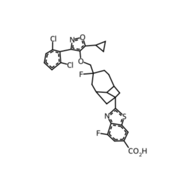 O=C(O)c1cc(F)c2nc(C34CC5CCC(F)(COc6c(-c7c(Cl)cccc7Cl)noc6C6CC6)CC(C3)C54)sc2c1